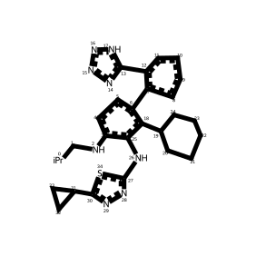 CC(C)CNc1ccc(-c2ccccc2-c2nnn[nH]2)c(C2CCCCC2)c1Nc1nnc(C2CC2)s1